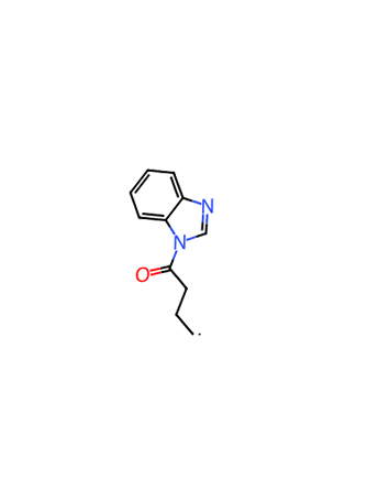 [CH2]CCC(=O)n1cnc2ccccc21